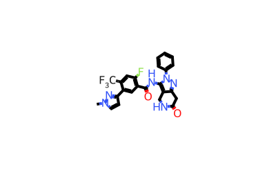 Cn1ccc(-c2cc(C(=O)Nc3c4c(nn3-c3ccccc3)CC(=O)NC4)c(F)cc2C(F)(F)F)n1